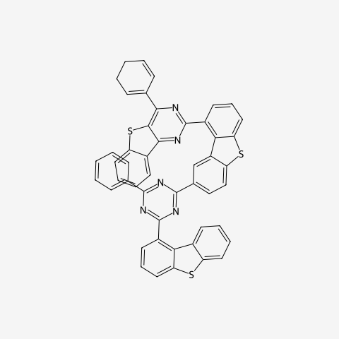 C1=CC(c2nc(-c3cccc4sc5ccc(-c6nc(-c7ccccc7)nc(-c7cccc8sc9ccccc9c78)n6)cc5c34)nc3c2sc2ccccc23)=CCC1